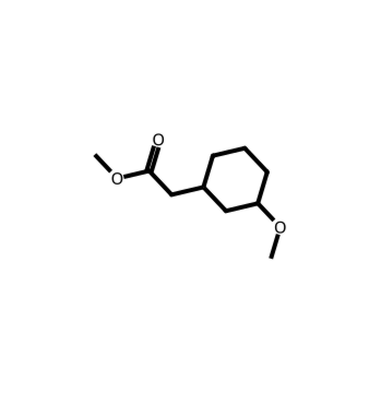 COC(=O)CC1CCCC(OC)C1